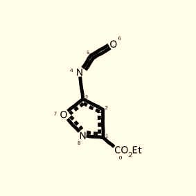 CCOC(=O)c1cc(N=C=O)on1